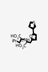 CC(C)C[C@H](N[C@@H](Cc1ccc(-c2ccsc2)o1)C(=O)O)C(=O)O